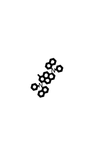 Cc1cc(N(c2ccccc2)c2cccc3ccccc23)c2ccc3c4c(ccc1c24)C(N(c1ccccc1)c1cccc2ccccc12)=C=C=3